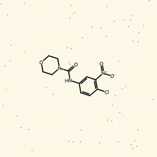 O=C(Nc1ccc(Cl)c([N+](=O)[O-])c1)N1CCOCC1